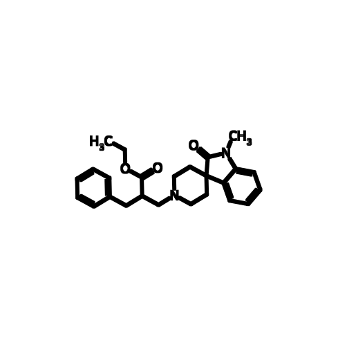 CCOC(=O)C(Cc1ccccc1)CN1CCC2(CC1)C(=O)N(C)c1ccccc12